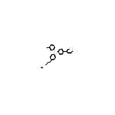 Cc1cccc(N(c2ccc(CCCOC=O)cc2)c2ccc(-c3ccc(Cl)nc3)cc2)c1